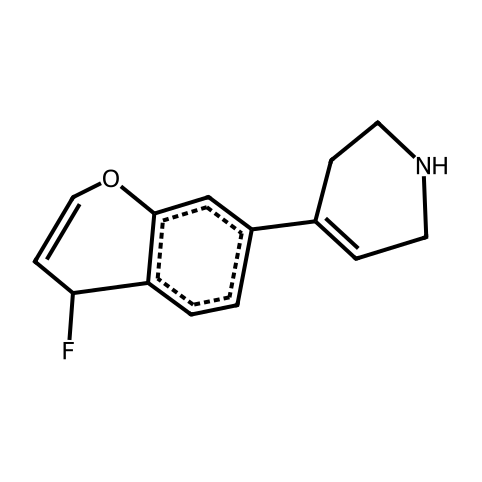 FC1C=COc2cc(C3=CCNCC3)ccc21